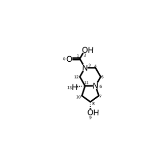 O=C(O)N1CCN2C[C@H](O)C[C@H]2C1